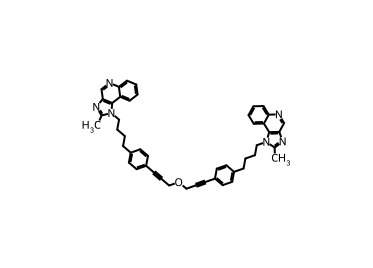 Cc1nc2cnc3ccccc3c2n1CCCCc1ccc(C#CCOCC#Cc2ccc(CCCCn3c(C)nc4cnc5ccccc5c43)cc2)cc1